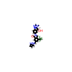 Cn1cnnc1[C@@](C)(O)c1cccc(N2Cc3c(cc(CNC4(C)CCC4)cc3C(F)(F)F)C2=O)c1